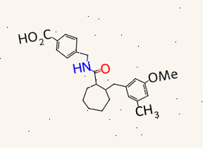 COc1cc(C)cc(CC2CCCCCC2C(=O)NCc2ccc(C(=O)O)cc2)c1